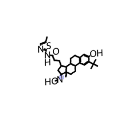 Cc1cnc(NC(=O)CCC2C/C(=N\O)C3(C)CCC4c5cc(C(C)(C)C)c(O)cc5CCC4C23)s1